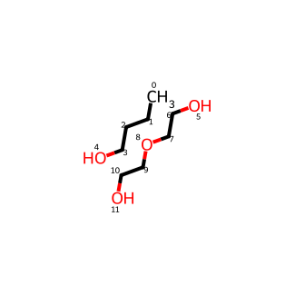 CCCCO.OCCOCCO